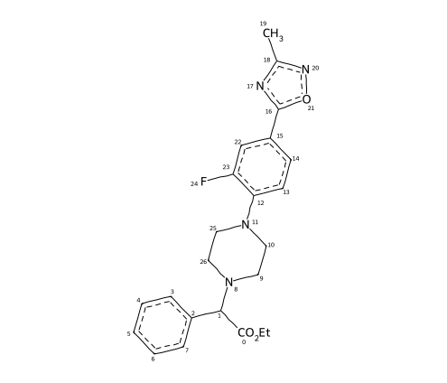 CCOC(=O)C(c1ccccc1)N1CCN(c2ccc(-c3nc(C)no3)cc2F)CC1